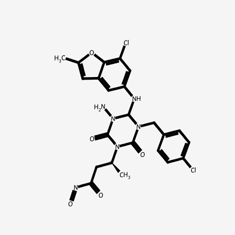 Cc1cc2cc(NC3N(N)C(=O)N([C@@H](C)CC(=O)N=O)C(=O)N3Cc3ccc(Cl)cc3)cc(Cl)c2o1